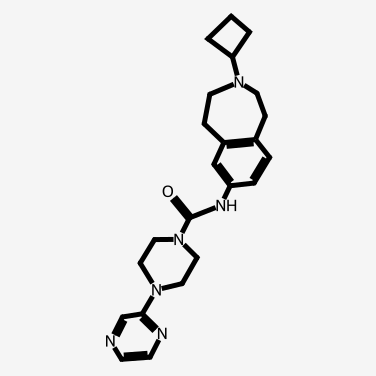 O=C(Nc1ccc2c(c1)CCN(C1CCC1)CC2)N1CCN(c2cnccn2)CC1